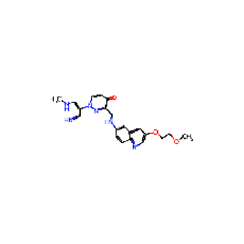 CN/C=C(\C=N)n1ccc(=O)c(CNc2ccc3ncc(OCCOC)cc3c2)n1